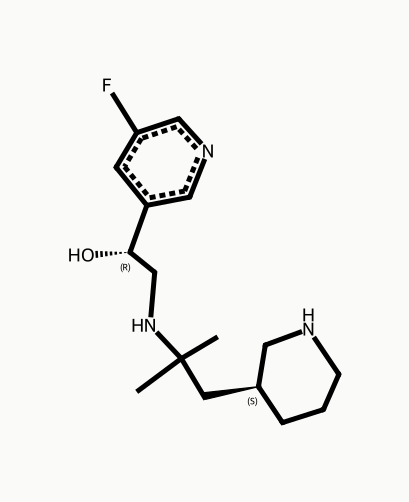 CC(C)(C[C@@H]1CCCNC1)NC[C@H](O)c1cncc(F)c1